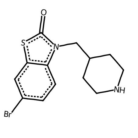 O=c1sc2cc(Br)ccc2n1CC1CCNCC1